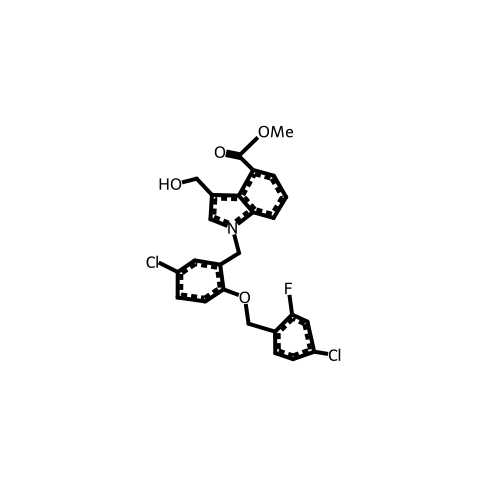 COC(=O)c1cccc2c1c(CO)cn2Cc1cc(Cl)ccc1OCc1ccc(Cl)cc1F